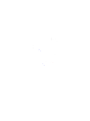 Bc1cc(F)c2c(C(=O)NCC3CCCCCC3)cn(CC)c2c1